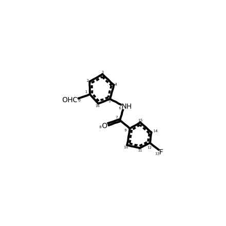 O=Cc1cccc(NC(=O)c2ccc(F)cc2)c1